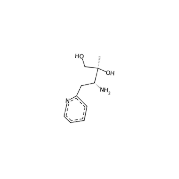 C[C@@](O)(CO)[C@H](N)Cc1ccccn1